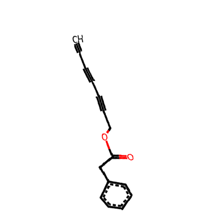 C#CC#CC#CCOC(=O)Cc1ccccc1